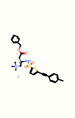 Cc1ccc(C#Cc2ccc(S(=O)(=O)N[C@H](CC(=O)OCc3ccccc3)C[N+](C)(C)C)s2)cc1.[I-]